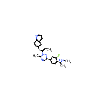 C=C(NC)c1ccc(C2=NN(/C(=C\C)Cc3ccc4ncccc4c3)C(=C)N=C2)cc1F